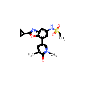 CCS(=O)(=O)Nc1cc(-c2cc(C)c(=O)n(C)c2)c2oc(C3CC3)nc2c1